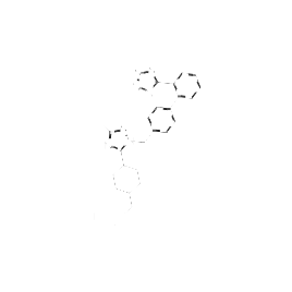 CCc1nc(C2CCC(CC(=O)O)CC2)n(Cc2ccc(-c3ccccc3-c3nnn[nH]3)cc2)n1